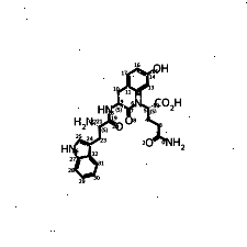 NC(=O)CC[C@H](NC(=O)[C@H](Cc1ccc(O)cc1)NC(=O)[C@@H](N)Cc1c[nH]c2ccccc12)C(=O)O